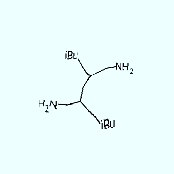 CCC(C)C(N)C(N)C(C)CC